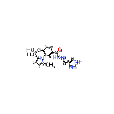 Cc1ccc(C)n1-c1cc(C(=O)N/N=C/c2c[nH]cn2)ccc1C(=O)O